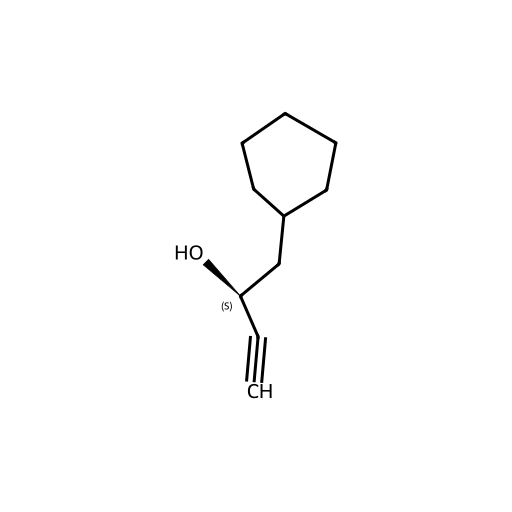 C#C[C@@H](O)CC1CCCCC1